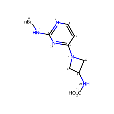 CCCCNc1nccc(N2CC(NC(=O)O)C2)n1